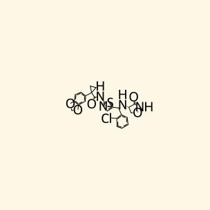 O=C1NOC[C@@H]1NC(c1cnc(NC(=O)C2(c3ccc4c(c3)OCO4)CC2)s1)c1ccccc1Cl